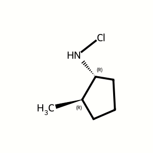 C[C@@H]1CCC[C@H]1NCl